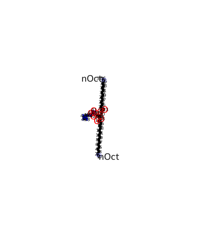 CCCCCCCC/C=C\CCCCCCCCCCCCCC(=O)O[C@H](COC(=O)CCCCCCCCCCC/C=C\CCCCCCCC)COP(=O)([O-])OCC[N+](C)(C)C